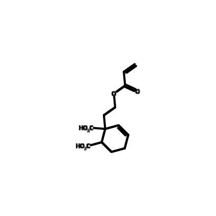 C=CC(=O)OCCC1(C(=O)O)C=CCCC1C(=O)O